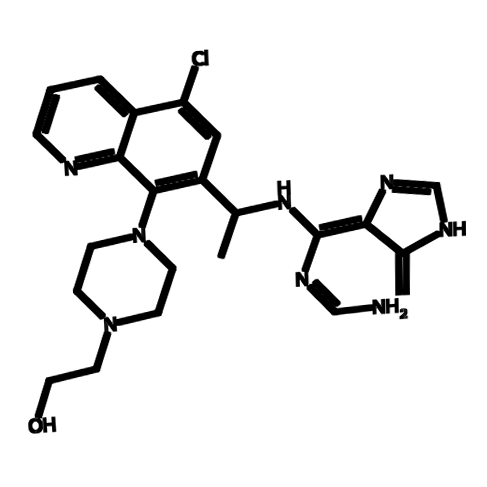 C=c1[nH]cn/c1=C(/N=C\N)NC(C)c1cc(Cl)c2cccnc2c1N1CCN(CCO)CC1